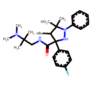 CCCCC1C(C(=O)NCC(C)(C)N(C)C)(c2ccc(F)cc2)NN(c2ccccc2)C1(C)C(=O)O